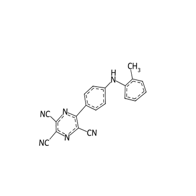 Cc1ccccc1Nc1ccc(-c2nc(C#N)c(C#N)nc2C#N)cc1